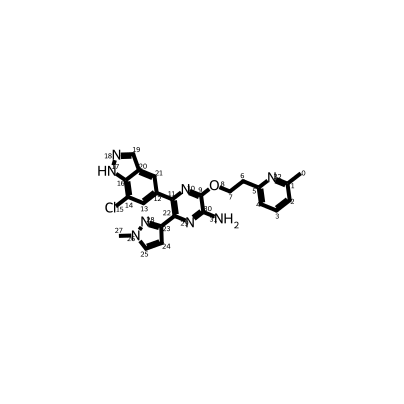 Cc1cccc(CCOc2nc(-c3cc(Cl)c4[nH]ncc4c3)c(-c3ccn(C)n3)nc2N)n1